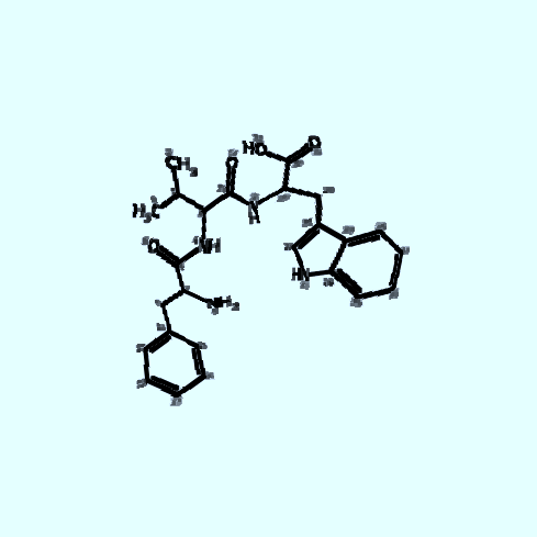 CC(C)C(NC(=O)C(N)Cc1ccccc1)C(=O)NC(Cc1c[nH]c2ccccc12)C(=O)O